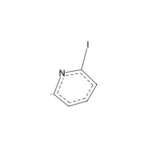 Ic1ccc[c]n1